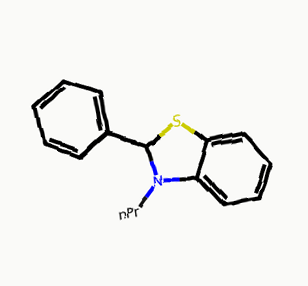 CCCN1c2ccccc2SC1c1ccccc1